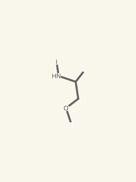 COCC(C)NI